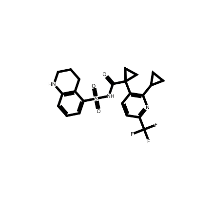 O=C(NS(=O)(=O)c1cccc2c1CCCN2)C1(c2ccc(C(F)(F)F)nc2C2CC2)CC1